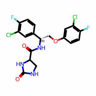 O=C1NCC(C(=O)N[C@@H](COc2ccc(F)c(Cl)c2)c2ccc(F)c(Cl)c2)N1